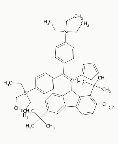 CC[Si](CC)(CC)c1ccc([C](c2ccc([Si](CC)(CC)CC)cc2)=[Zr+2]([C]2=CC=CC2)[CH]2c3ccc(C(C)(C)C)cc3-c3cccc(C(C)(C)C)c32)cc1.[Cl-].[Cl-]